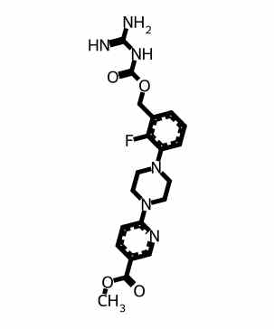 COC(=O)c1ccc(N2CCN(c3cccc(COC(=O)NC(=N)N)c3F)CC2)nc1